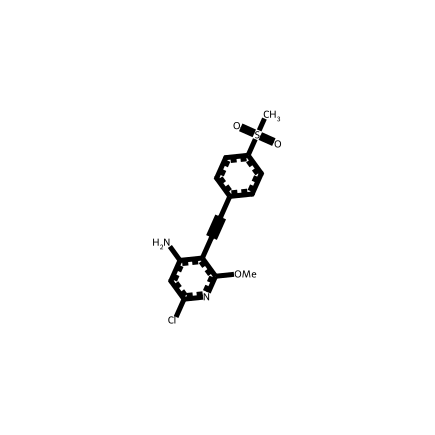 COc1nc(Cl)cc(N)c1C#Cc1ccc(S(C)(=O)=O)cc1